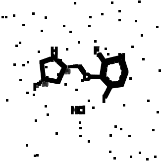 Cl.Fc1nccc(I)c1OC[C@@H]1C[C@H](F)CN1